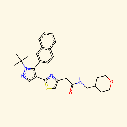 CC(C)(C)n1ncc(-c2nc(CC(=O)NCC3CCOCC3)cs2)c1-c1ccc2ccccc2c1